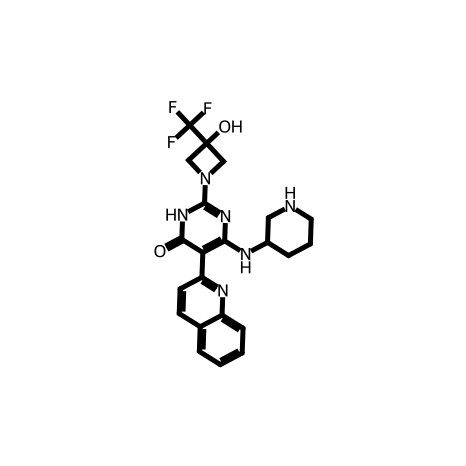 O=c1[nH]c(N2CC(O)(C(F)(F)F)C2)nc(NC2CCCNC2)c1-c1ccc2ccccc2n1